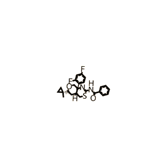 CC1([C@H]2C[C@H]3CSC(NC(=O)c4ccccc4)=N[C@@]3(c3ccc(F)cc3F)CO2)CC1